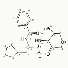 CCCC1COCC(=O)C1NC(=O)[C@H](CC1CCCC1)NC(=O)c1ccccc1